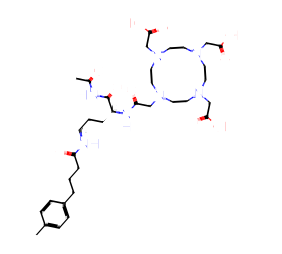 CC(=O)NC(=O)[C@H](CC[C@@H](C)NC(=O)CCCc1ccc(C)cc1)NC(=O)CN1CCN(CC(=O)O)CCN(CC(=O)O)CCN(CC(=O)O)CC1